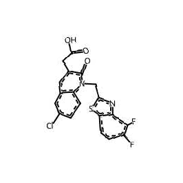 O=C(O)Cc1cc2cc(Cl)ccc2n(Cc2nc3c(F)c(F)ccc3s2)c1=O